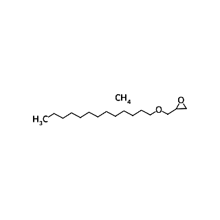 C.CCCCCCCCCCCCCOCC1CO1